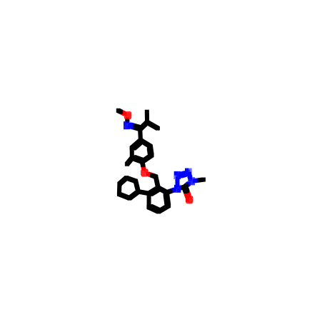 CON=C(c1ccc(OCc2c(C3CCCCC3)cccc2-n2nnn(C)c2=O)c(C)c1)C(C)C